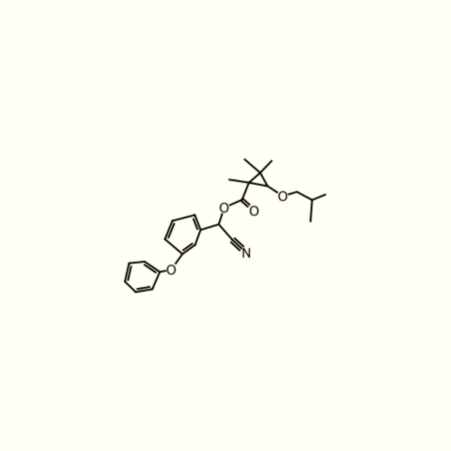 CC(C)COC1C(C)(C)C1(C)C(=O)OC(C#N)c1cccc(Oc2ccccc2)c1